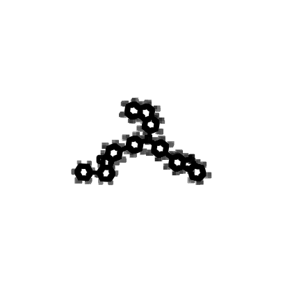 c1ccc(-c2cccc3c2oc2ccc(-c4ccc(N(c5ccc(-c6ccc7c(c6)sc6ccccc67)cc5)c5ccc6ccc7ccccc7c6c5)cc4)cc23)cc1